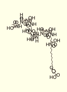 CC(=O)[C@H](CO)NC(=O)CNC(=O)[C@H](CO)NC(=O)[C@H](CO)NC(=O)CNC(=O)[C@H](CO)NC(=O)[C@H](CO)NC(=O)CNC(=O)[C@H](CO)NC(=O)[C@H](CO)NC(=O)CC[C@H](NC(=O)CCCCCCCCCCOc1ccc(C(=O)O)cc1)C(=O)O